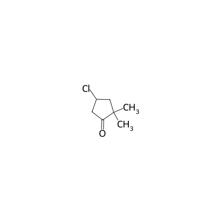 CC1(C)CC(Cl)CC1=O